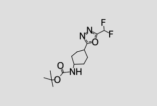 CC(C)(C)OC(=O)NC1CCC(c2nnc(C(F)F)o2)CC1